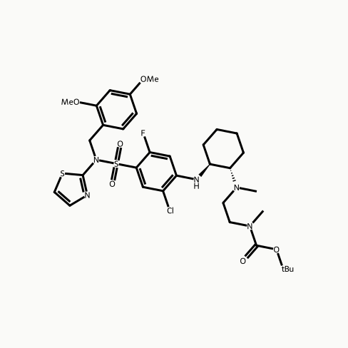 COc1ccc(CN(c2nccs2)S(=O)(=O)c2cc(Cl)c(N[C@H]3CCCC[C@@H]3N(C)CCN(C)C(=O)OC(C)(C)C)cc2F)c(OC)c1